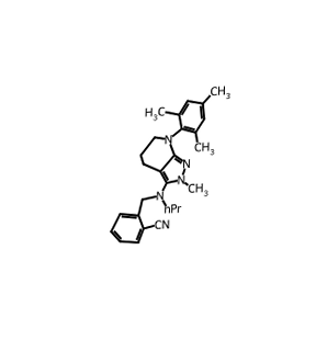 CCCN(Cc1ccccc1C#N)c1c2c(nn1C)N(c1c(C)cc(C)cc1C)CCC2